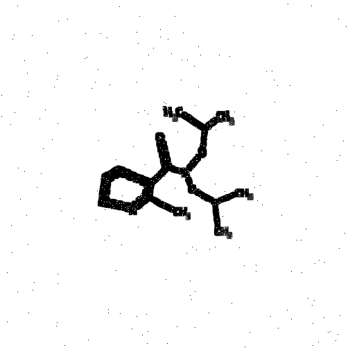 Cc1ncccc1C(=O)N(OC(C)C)OC(C)C